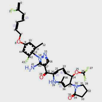 C=C(F)/C=C\C=C/COc1cc(C)c(-n2ncc(C(=O)/C3=C/C=C/C(OC(F)F)C(N4CCCC4=O)/C=C(\C)N3)c2N)c(F)c1